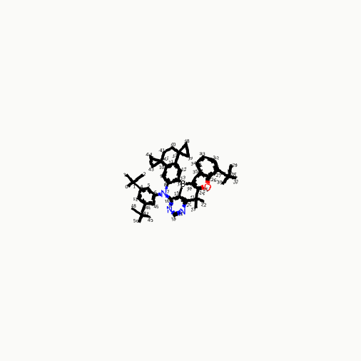 CC(C)(C)c1cc(N2c3cc4c(cc3B3c5c2ncnc5C(C)(C)c2oc5c(C(C)(C)C)cccc5c23)C2(CC2)CCC42CC2)cc(C(C)(C)C)c1